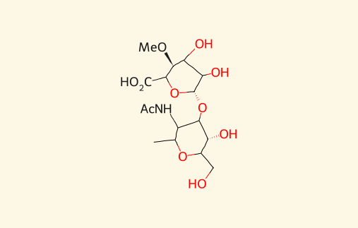 CO[C@@H]1C(C(=O)O)O[C@@H](OC2C(NC(C)=O)C(C)OC(CO)[C@H]2O)C(O)C1O